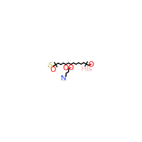 CBC(=O)C(C)(C)CCCCCC(CCCCCC(C)(C)C(=O)SC)OC(=O)CCCN(C)C